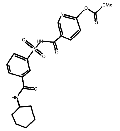 COC(=O)Oc1ccc(C(=O)NS(=O)(=O)c2cccc(C(=O)NC3CCCCC3)c2)cn1